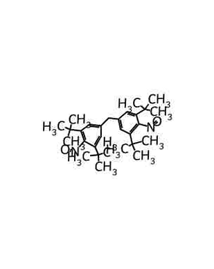 CC(C)(C)c1cc(Cc2cc(C(C)(C)C)c(N=O)c(C(C)(C)C)c2)cc(C(C)(C)C)c1N=O